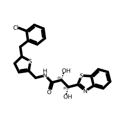 O=C(NCC1=CCC(Cc2ccccc2Cl)S1)[C@H](O)[C@@H](O)c1nc2ccccc2s1